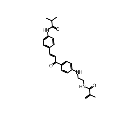 C=C(C)C(=O)NCCNc1ccc(C(=O)/C=C/c2ccc(NC(=O)C(C)C)cc2)cc1